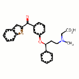 CN(CCC(Oc1cccc(C(=O)c2cc3ccccc3s2)c1)c1ccccc1)CC(=O)O